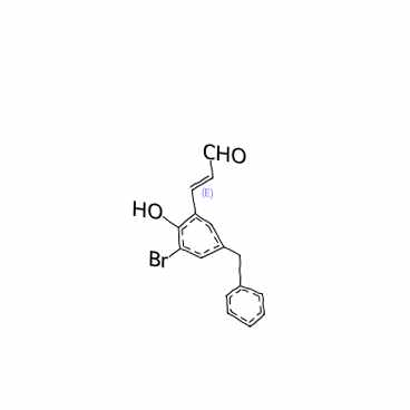 O=C/C=C/c1cc(Cc2ccccc2)cc(Br)c1O